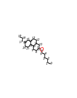 CCCCCCO[C@H]1CCC2C(CCC3C[C@@H](CCC)CCC32)C1